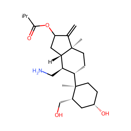 C=C1C(OC(=O)C(C)C)C[C@H]2[C@H](CN)[C@@H]([C@@]3(C)CC[C@H](O)C[C@@H]3CO)CC[C@]12C